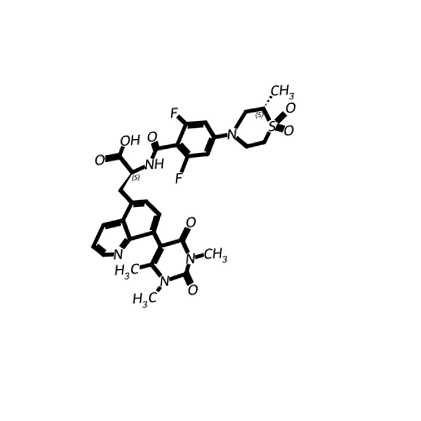 Cc1c(-c2ccc(C[C@H](NC(=O)c3c(F)cc(N4CCS(=O)(=O)[C@@H](C)C4)cc3F)C(=O)O)c3cccnc23)c(=O)n(C)c(=O)n1C